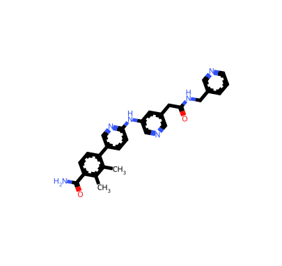 Cc1c(C(N)=O)ccc(-c2ccc(Nc3cncc(CC(=O)NCc4cccnc4)c3)nc2)c1C